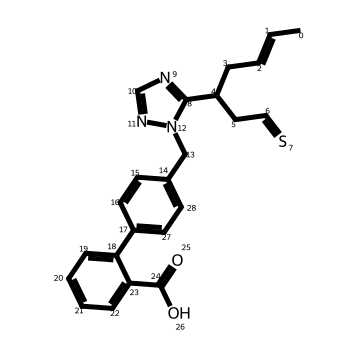 CC=CCC(CC=S)c1ncnn1Cc1ccc(-c2ccccc2C(=O)O)cc1